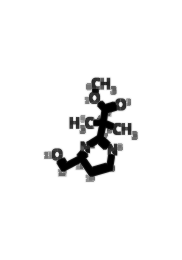 COC(=O)C(C)(C)c1nccc(C=O)n1